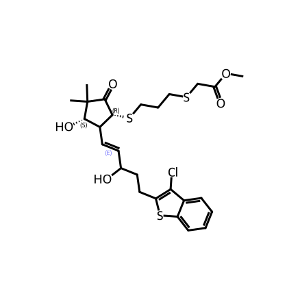 COC(=O)CSCCCS[C@H]1C(=O)C(C)(C)[C@@H](O)C1/C=C/C(O)CCc1sc2ccccc2c1Cl